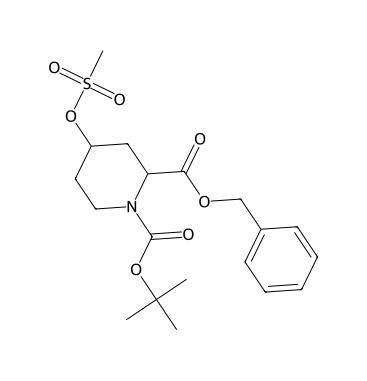 CC(C)(C)OC(=O)N1CCC(OS(C)(=O)=O)CC1C(=O)OCc1ccccc1